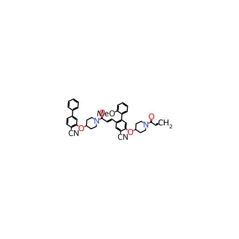 C=CC(=O)N1CCC(Oc2cc(-c3ccccc3OC)c(/C=C/C(=O)N3CCC(Oc4cc(-c5ccccc5)ccc4C#N)CC3)cc2C#N)CC1